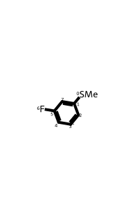 CSc1c[c]cc(F)c1